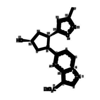 CCOC(=O)c1cnn2ccc(N3C[C@H](O)C[C@@H]3c3nc(C)no3)nc12